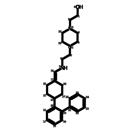 OCCN1CCN(CCNC=C2CCC(c3ccccc3-c3ccccc3)CC2)CC1